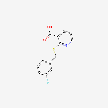 O=C(O)c1cccnc1SCc1cccc(F)c1